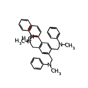 CN(Cc1cc(CN(C)c2ccccc2)c(CN(C)c2ccccc2)cc1CN(C)c1ccccc1)c1ccccc1